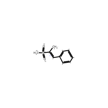 [CH2]/C(=C\c1ccccc1)S(C)(=O)=O